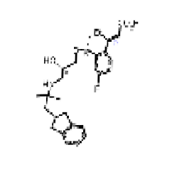 CC/C(=C\C(=O)O)c1ccc(F)cc1[C@@H](C)OC[C@@H](O)CNC(C)(C)CC1Cc2ccccc2C1